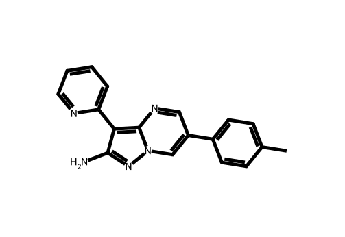 Cc1ccc(-c2cnc3c(-c4ccccn4)c(N)nn3c2)cc1